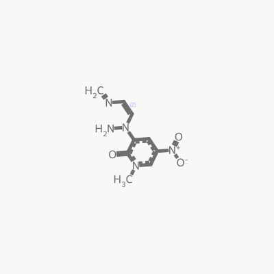 C=N/C=C\N(N)c1cc([N+](=O)[O-])cn(C)c1=O